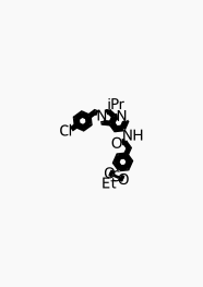 CCS(=O)(=O)c1ccc(CC(=O)Nc2cnc3c(c2)CN(Cc2ccc(Cl)cc2)C3C(C)C)cc1